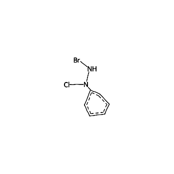 ClN(NBr)c1ccccc1